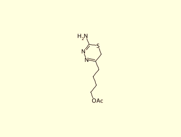 CC(=O)OCCCCC1=NN=C(N)SC1